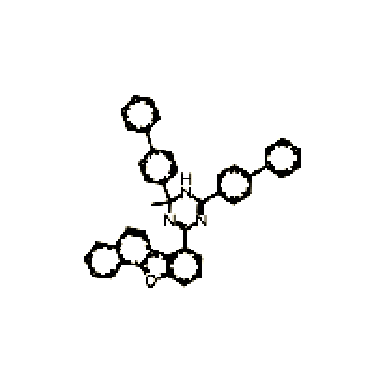 CC1(c2ccc(-c3ccccc3)cc2)N=C(c2cccc3oc4c(c#cc5ccccc54)c23)N=C(c2ccc(-c3ccccc3)cc2)N1